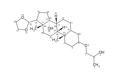 CC(O)COC1CC[C@@]2(C)C(CC[C@@H]3[C@H]2CC[C@]2(C)C(C4OCCO4)CC[C@@]32O)C1